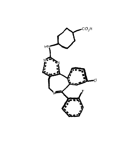 O=C(O)C1CCC(Nc2ncc3c(n2)-c2ccc(Cl)cc2C(c2ccccc2F)=NC3)CC1